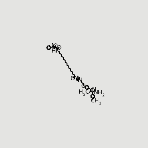 CCc1c(-c2ccc(OCCCN3CCN(C(=O)CCCCCCCCCCCCCCCCCNC(=O)c4cc(-c5ccccc5)no4)CC3)cc2)cnc(N)c1-c1ccc(C)cc1